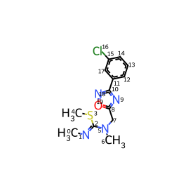 CN=C(SC)N(C)Cc1nc(-c2cccc(Cl)c2)no1